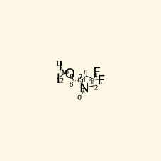 CN1CC(F)(F)C[C@H]1COC(I)I